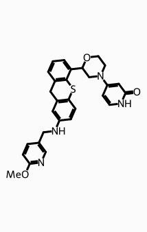 COc1ccc(CNc2ccc3c(c2)Cc2cccc(C4CN(c5cc[nH]c(=O)c5)CCO4)c2S3)cn1